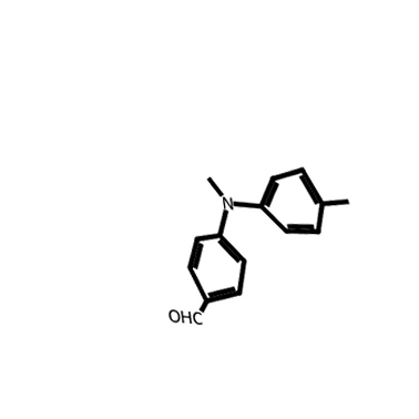 Cc1ccc(N(C)c2ccc(C=O)cc2)cc1